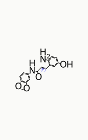 Nc1ccc(O)cc1/C=C/C(=O)Nc1ccc2c(c1)OCO2